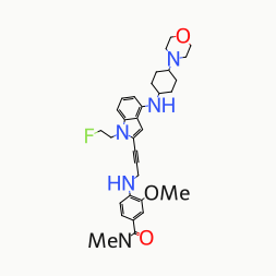 CNC(=O)c1ccc(NCC#Cc2cc3c(NC4CCC(N5CCOCC5)CC4)cccc3n2CCF)c(OC)c1